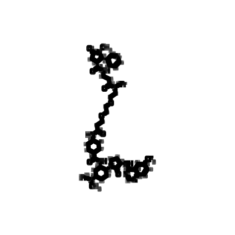 CC(C)N(CCOCCOCCC(=O)NC1CCC(C(=O)N[C@@H]2C[C@H](N(C)C(C)C)CC[C@@H]2N2CC[C@H](Nc3ncnc4ccc(C(F)(F)F)cc34)C2=O)CC1)C(=O)CCNC(=O)[C@H]1CC(=O)N(C)[C@@H]1c1cccnc1